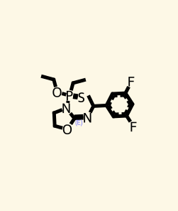 CCOP(=S)(CC)N1CCO/C1=N/C(C)c1cc(F)cc(F)c1